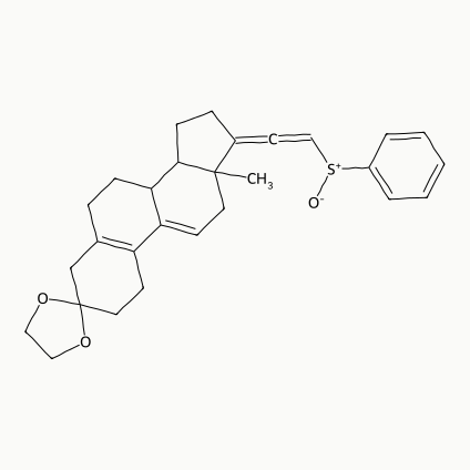 CC12CC=C3C4=C(CCC3C1CCC2=C=C[S+]([O-])c1ccccc1)CC1(CC4)OCCO1